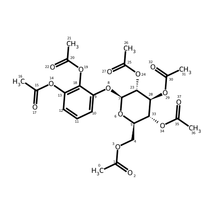 CC(=O)OC[C@H]1O[C@@H](Oc2cccc(OC(C)=O)c2OC(C)=O)[C@H](OC(C)=O)[C@@H](OC(C)=O)[C@@H]1OC(C)=O